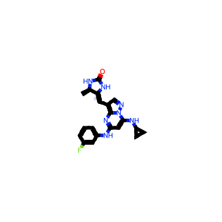 C=c1[nH]c(=O)[nH]/c1=C\c1cnn2c(NC3CC3)cc(Nc3cccc(F)c3)nc12